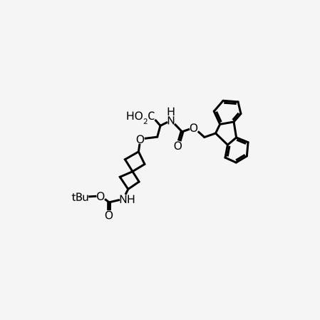 CC(C)(C)OC(=O)NC1CC2(C1)CC(OCC(NC(=O)OCC1c3ccccc3-c3ccccc31)C(=O)O)C2